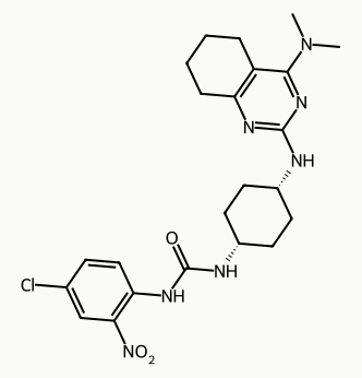 CN(C)c1nc(N[C@H]2CC[C@@H](NC(=O)Nc3ccc(Cl)cc3[N+](=O)[O-])CC2)nc2c1CCCC2